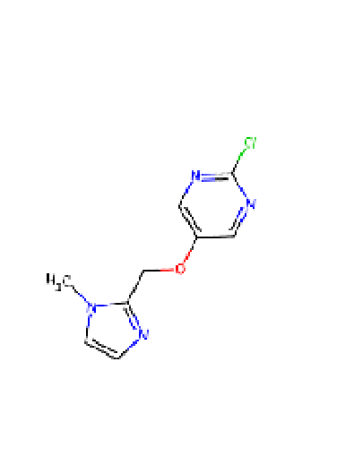 Cn1ccnc1COc1cnc(Cl)nc1